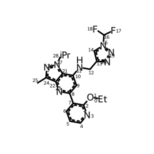 CCOc1ncccc1-c1cc(NCc2cn(C(F)F)nn2)c2c(n1)c(C)nn2C(C)C